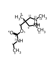 CCNC(=O)OCC(C)(CNC)CNC